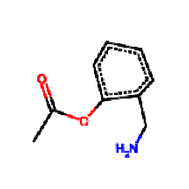 CC(=O)Oc1ccccc1CN